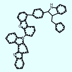 c1ccc(CC2c3ccccc3NC2c2ccc(-c3cccc4oc5c(-n6c7ccccc7c7c8sc9ccccc9c8ccc76)cccc5c34)cc2)cc1